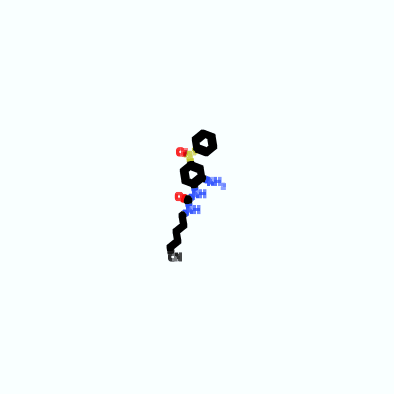 N#CCCCCCNC(=O)Nc1ccc([S+]([O-])c2ccccc2)cc1N